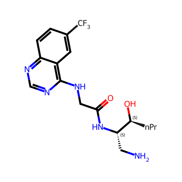 CCC[C@H](O)[C@H](CN)NC(=O)CNc1ncnc2ccc(C(F)(F)F)cc12